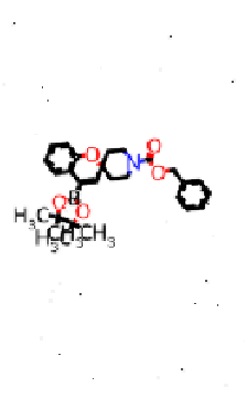 CC1(C)OB(C2=CC3(CCN(C(=O)OCc4ccccc4)CC3)Oc3ccccc32)OC1(C)C